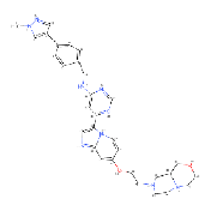 Cn1cc(-c2ccc(CNc3cc(-c4cnc5cc(OCCN6CCN7CCOCC7C6)ccn45)ncn3)cc2)cn1